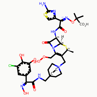 C[C@@H]1S[C@@H]2[C@H](NC(=O)/C(=N\OC(C)(C)C(=O)O)c3csc(N)n3)C(=O)N2C(COO)=C1C[N+]12CCC(CNC(=O)/C(=N\O)c3cc(O)c(O)c(Cl)c3)(CC1)CC2